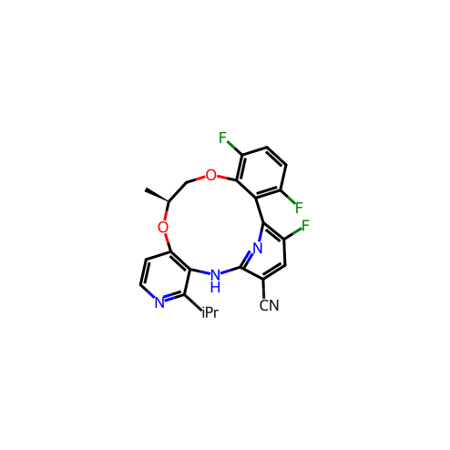 CC(C)c1nccc2c1Nc1nc(c(F)cc1C#N)-c1c(F)ccc(F)c1OC[C@H](C)O2